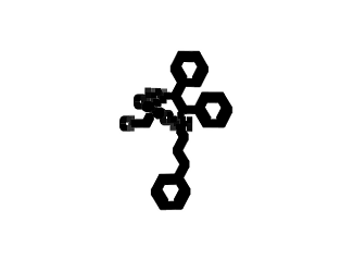 O=S(=O)(CCl)N[C@@H](c1ccccc1)[C@@H](NCCCc1ccccc1)c1ccccc1